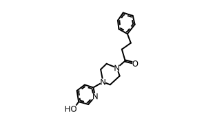 O=C(CCc1ccccc1)N1CCN(c2ccc(O)cn2)CC1